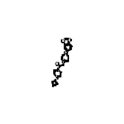 O=C(CN1CCN(c2ccc3c(c2)OCO3)CC1)N1CCN(C2CCC2)CC1